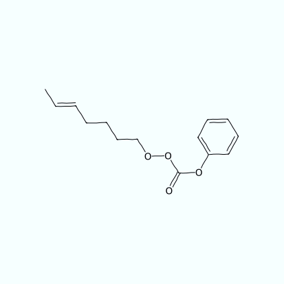 CC=CCCCCOOC(=O)Oc1ccccc1